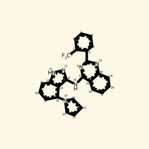 FC(F)(F)c1ccccc1-c1nc(Nc2n[nH]c3cccc(-n4cccc4)c23)c2ccccc2n1